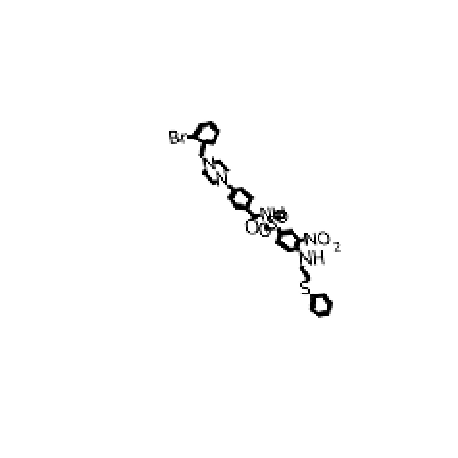 O=C(NS(=O)(=O)c1ccc(NCCSc2ccccc2)c([N+](=O)[O-])c1)c1ccc(N2CCN(Cc3ccccc3Br)CC2)cc1